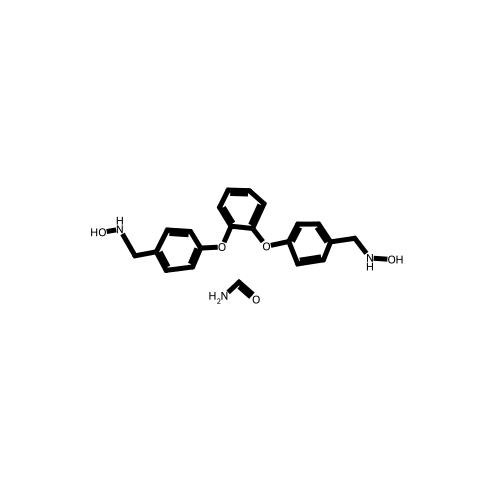 NC=O.ONCc1ccc(Oc2ccccc2Oc2ccc(CNO)cc2)cc1